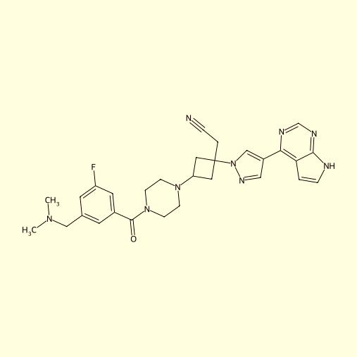 CN(C)Cc1cc(F)cc(C(=O)N2CCN(C3CC(CC#N)(n4cc(-c5ncnc6[nH]ccc56)cn4)C3)CC2)c1